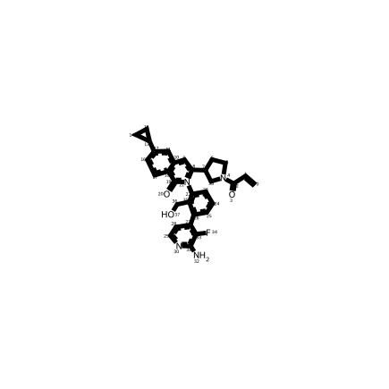 C=CC(=O)N1CCC(c2cc3cc(C4CC4)ccc3c(=O)n2-c2cccc(-c3ccnc(N)c3F)c2CO)C1